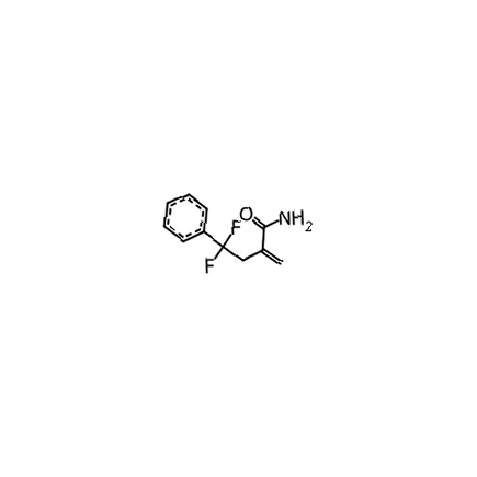 C=C(CC(F)(F)c1ccccc1)C(N)=O